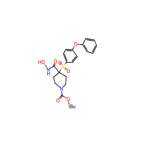 CC(C)(C)OC(=O)N1CCC(C(=O)NO)(S(=O)(=O)c2ccc(Oc3ccccc3)cc2)CC1